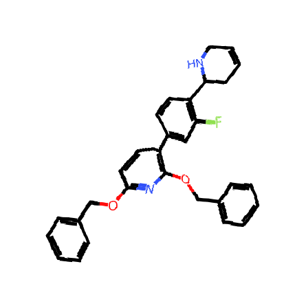 Fc1cc(-c2ccc(OCc3ccccc3)nc2OCc2ccccc2)ccc1C1CC=CCN1